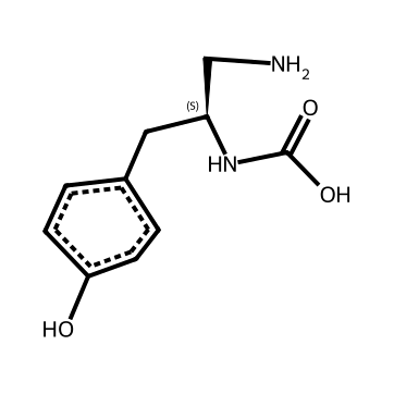 NC[C@H](Cc1ccc(O)cc1)NC(=O)O